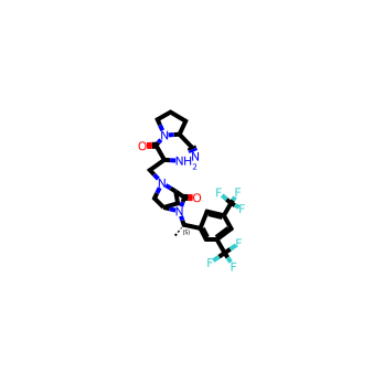 C[C@@H](c1cc(C(F)(F)F)cc(C(F)(F)F)c1)N1C(=O)C2CC1CN2CC(N)C(=O)N1CCCC1C#N